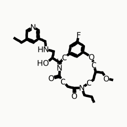 CCCN1CCC(COC)COc2cc(F)cc(c2)CC(C(O)CNCc2cncc(CC)c2)NC(=O)CCC1=O